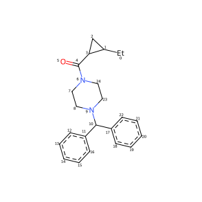 CCC1CC1C(=O)N1CCN(C(c2ccccc2)c2ccccc2)CC1